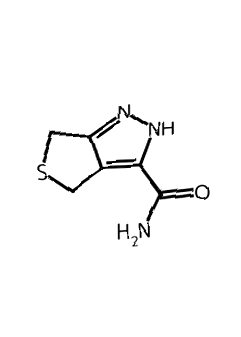 NC(=O)c1[nH]nc2c1CSC2